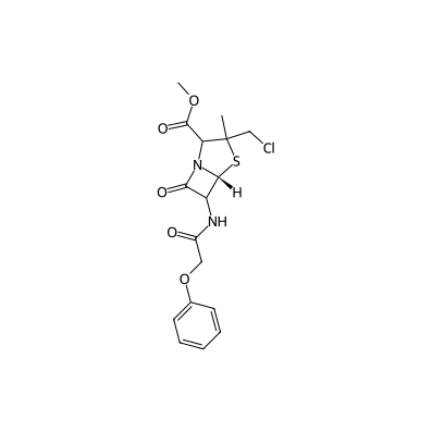 COC(=O)C1N2C(=O)C(NC(=O)COc3ccccc3)[C@H]2SC1(C)CCl